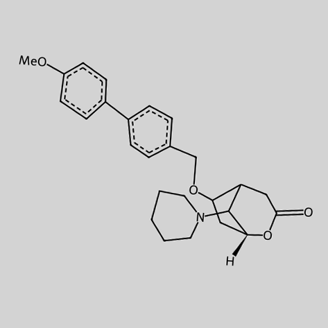 COc1ccc(-c2ccc(COC3C[C@H]4OC(=O)CC3C4N3CCCCC3)cc2)cc1